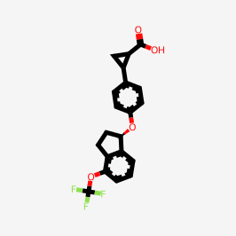 O=C(O)C1CC1c1ccc(O[C@@H]2CCc3c(OC(F)(F)F)cccc32)cc1